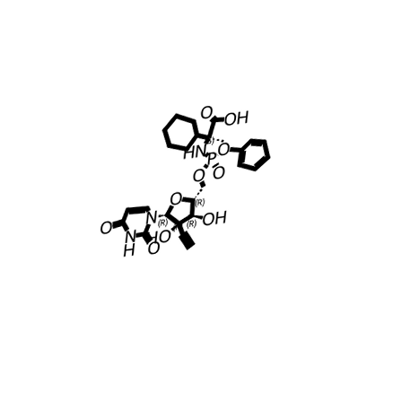 C#C[C@@]1(O)[C@H](O)[C@@H](COP(=O)(N[C@](C)(C(=O)O)C2CCCCC2)Oc2ccccc2)O[C@H]1n1ccc(=O)[nH]c1=O